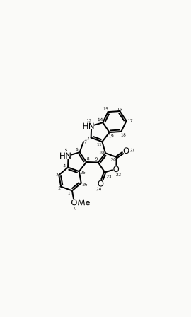 COc1ccc2[nH]c(C)c(C3=C(c4c[nH]c5ccccc45)C(=O)OC3=O)c2c1